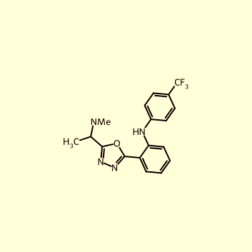 CNC(C)c1nnc(-c2ccccc2Nc2ccc(C(F)(F)F)cc2)o1